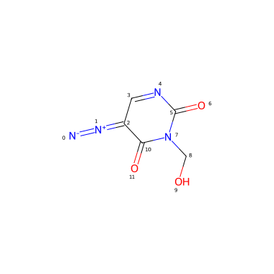 [N-]=[N+]=C1C=NC(=O)N(CO)C1=O